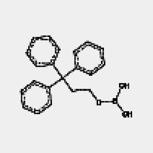 OB(O)OCCC(c1ccccc1)(c1ccccc1)c1ccccc1